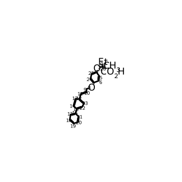 CC[C@](C)(Oc1ccc(OC/C=C/c2ccc(-c3ccccc3)cc2)cc1)C(=O)O